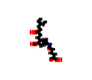 CCC(CC)CCC(O)CCC1C(O)CC2C(=NOCCCC(=O)O)CC21